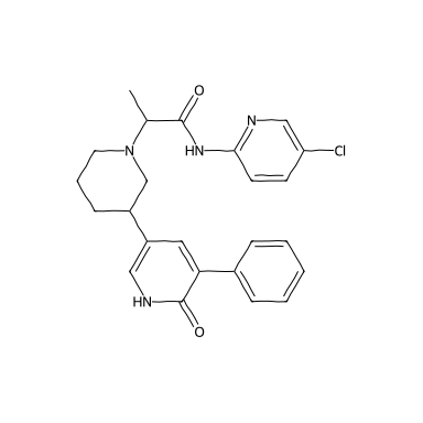 CC(C(=O)Nc1ccc(Cl)cn1)N1CCCC(c2c[nH]c(=O)c(-c3ccccc3)c2)C1